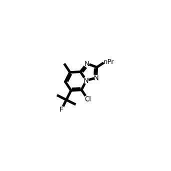 CCCc1nc2c(C)cc(C(C)(C)F)c(Cl)n2n1